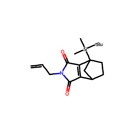 C=CCN1C(=O)C2=C(C1=O)C1([Si](C)(C)C(C)(C)C)CCC2C1